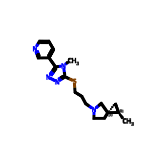 C[C@@H]1C[C@@]12CCN(CCCSc1nnc(-c3cccnc3)n1C)C2